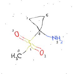 CS(=O)(=O)C1(N)CC1